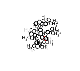 CC(C)(C)c1ccc(N2c3cc(N4c5ccc(C(C)(C)C)cc5C5(C)CCc6ccccc6C45C)ccc3B3c4cc5c(cc4N(c4ccc6c(c4)C(C)(C)CCC6(C)C)c4cc(C(C)(C)C)cc2c43)C(C)(C)CCC5(C)C)c(-c2ccccc2)c1